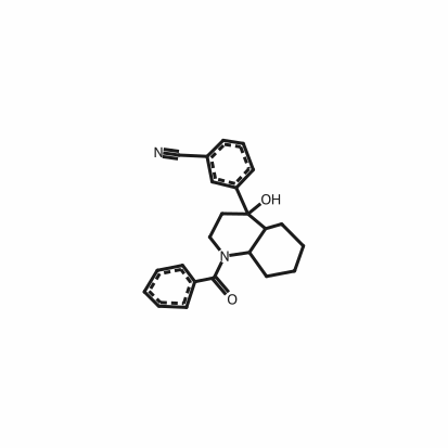 N#Cc1cccc(C2(O)CCN(C(=O)c3ccccc3)C3CCCCC32)c1